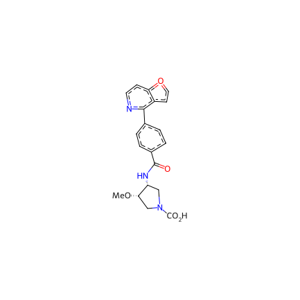 CO[C@H]1CN(C(=O)O)C[C@H]1NC(=O)c1ccc(-c2nccc3occc23)cc1